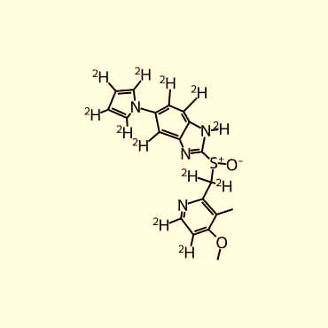 [2H]c1nc(C([2H])([2H])[S+]([O-])c2nc3c([2H])c(-n4c([2H])c([2H])c([2H])c4[2H])c([2H])c([2H])c3n2[2H])c(C)c(OC)c1[2H]